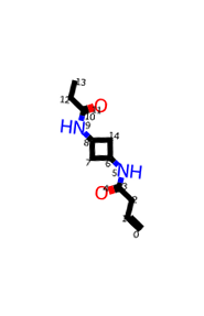 C=CCC(=O)NC1CC(NC(=O)CC)C1